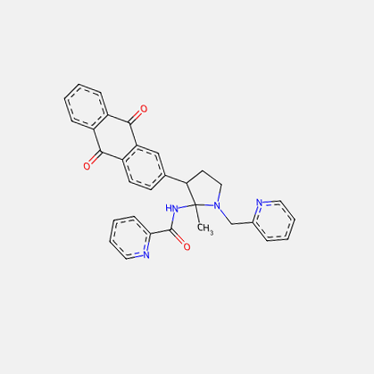 CC1(NC(=O)c2ccccn2)C(c2ccc3c(c2)C(=O)c2ccccc2C3=O)CCN1Cc1ccccn1